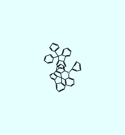 c1ccc(N2c3ccccc3C3(c4ccccc4-c4cccc(-c5ccc6c(c5)C(c5ccccc5)(c5ccccc5)c5ccccc5-6)c43)c3ccccc32)cc1